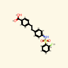 O=C(O)c1ccc(CCc2ccc(NS(=O)(=O)c3ccccc3F)cc2)cc1